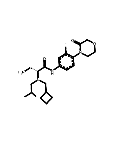 CC(C)CN(CC1CCC1)[C@H](CN)C(=O)Nc1ccc(N2CCOCC2=O)c(F)c1